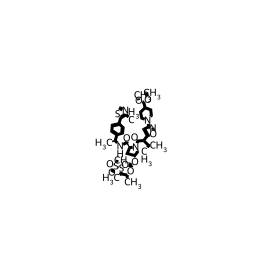 COC(OC)C1CCN(c2cc(C(C(=O)N3C[C@H](OC(=O)OC(C)C(C)SS(C)(=O)=O)C[C@H]3C(=O)N[C@@H](C)c3ccc(-c4scnc4C)cc3)C(C)C)on2)CC1